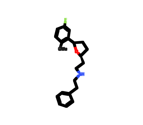 COc1ccc(F)cc1C1CC[C@@H](CCNCCc2ccccc2)O1